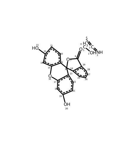 CO.N=C=S.O=C1OC2(c3ccc(O)cc3Oc3cc(O)ccc32)c2ccccc21